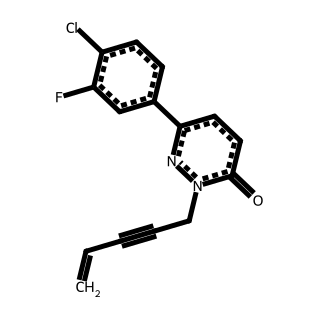 C=CC#CCn1nc(-c2ccc(Cl)c(F)c2)ccc1=O